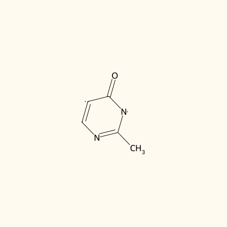 CC1=NC=[C]C(=O)[N]1